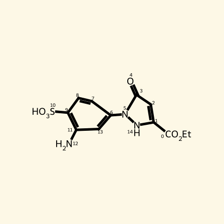 CCOC(=O)c1cc(=O)n(-c2ccc(S(=O)(=O)O)c(N)c2)[nH]1